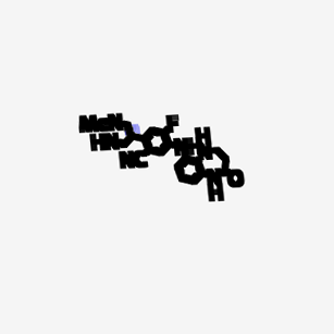 CN/C=C(\C=N)c1cc(F)c(Nc2cccc3c2NCCC(=O)N3)cc1C#N